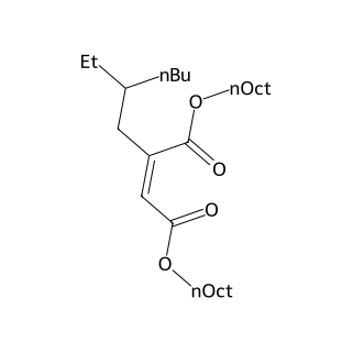 CCCCCCCCOC(=O)/C=C(/CC(CC)CCCC)C(=O)OCCCCCCCC